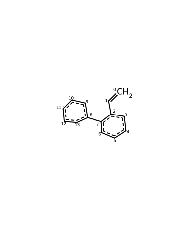 C=Cc1ccccc1-c1cc[c]cc1